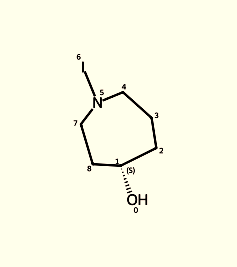 O[C@H]1CCCN(I)CC1